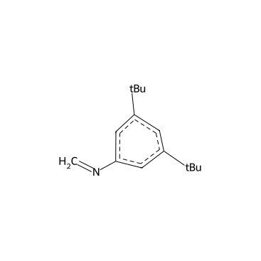 C=Nc1cc(C(C)(C)C)cc(C(C)(C)C)c1